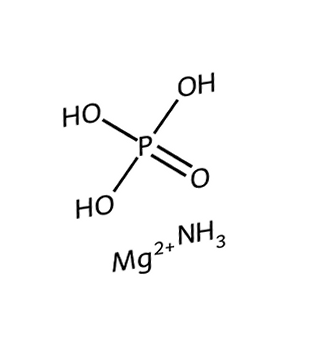 N.O=P(O)(O)O.[Mg+2]